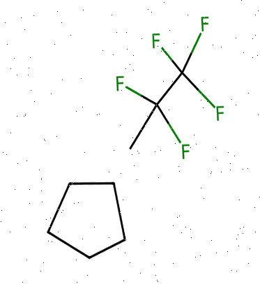 C1CCCC1.CC(F)(F)C(F)(F)F